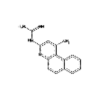 Cc1cc(NC(=N)N)nc2ccc3ccccc3c12